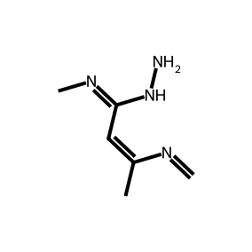 C=N/C(C)=C\C(=N/C)NN